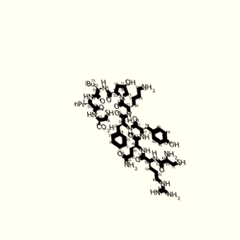 CCC[C@H](NC(=O)[C@@H](NC(=O)[C@@H]1C[C@@H](O)CN1C(=O)[C@H](CCCCN)NC(=O)[C@H](Cc1ccccc1)NC(=O)[C@H](Cc1ccc(O)cc1)NC(=O)[C@H](CCC(N)=O)NC(=O)[C@H](CCCNC(=N)N)NC(=O)[C@@H](N)CS)[C@@H](C)CC)C(=O)N[C@@H](CS)C(=O)O